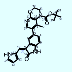 Cc1c(-c2ccc3c(c2)/C(=C/c2ccc[nH]2)C(=O)N3)cnc2c1N(C(=O)OC(C)(C)C)CCO2